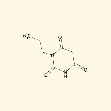 CCCN1C(=O)CC(=O)NC1=O